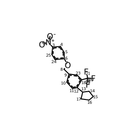 O=[N+]([O-])c1ccc(OCc2ccc(C3CCCC3)c(C(F)(F)F)c2)cc1